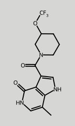 Cc1c[nH]c(=O)c2c(C(=O)N3CCCC(OC(F)(F)F)C3)c[nH]c12